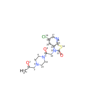 CC(=O)CN1CCN(C(=O)Cn2c(=O)sc3ncc(Cl)cc32)CC1